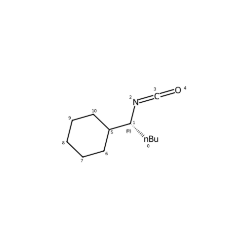 CCCC[C@@H](N=C=O)C1CCCCC1